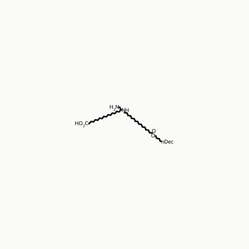 CCCCCCCCCCCCCCOC(=O)CCCCCCCCCCCCCCCNC(CN)CCCCCCCCCCCCCCCC(=O)O